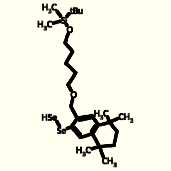 CC1(C)CCC(C)(C)c2cc([Se][SeH])c(COCCCCCO[Si](C)(C)C(C)(C)C)cc21